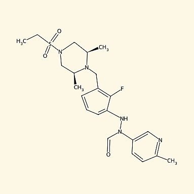 CCS(=O)(=O)N1C[C@@H](C)N(Cc2cccc(NN(C=O)c3ccc(C)nc3)c2F)[C@@H](C)C1